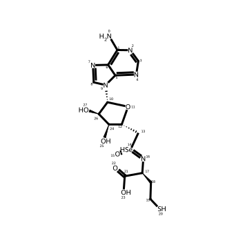 Nc1ncnc2c1ncn2[C@@H]1O[C@H](C/[SeH](=O)=N/[C@@H](CCS)C(=O)O)[C@@H](O)[C@H]1O